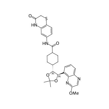 COc1cnc2cccc([C@H]3OC(C)(C)O[C@@H]3C3CCC(C(=O)Nc4ccc5c(c4)NC(=O)CS5)CC3)c2n1